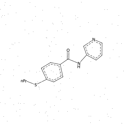 CCCSc1ccc(C(=O)Nc2cccnc2)cc1